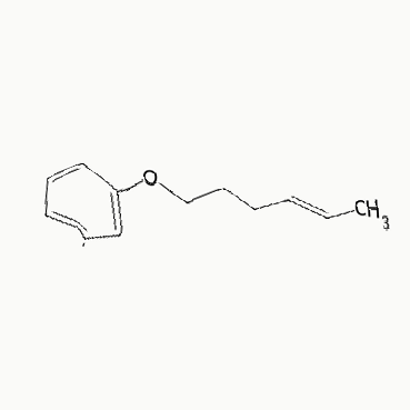 CC=CCCCOc1c[c]ccc1